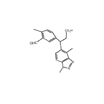 Cc1ccc(C(CC(=O)O)c2ccc3c(nnn3C)c2C)cc1C=O